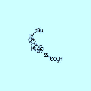 C[C@H](CCCC(C)(C)C)[C@H]1CC[C@@]2(C)C3=C(CC[C@]12C)[C@@]1(C)CC(F)C(OC(=O)CCSSCCC(=O)O)C(C)(C)[C@@H]1CC3